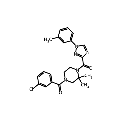 Cc1cccc(-n2cnc(C(=O)N3CCN(C(=O)c4cccc(Cl)c4)CC3(C)C)n2)c1